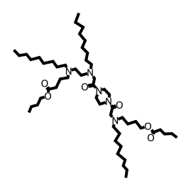 CCCCCCCCCN(CCCC(=O)OCCCC)CCN(CCCCCCCCC)CC(=O)N1CCN(C(=O)CN(CCCCCCCCC)CCCCOC(=O)CCCC)CC1